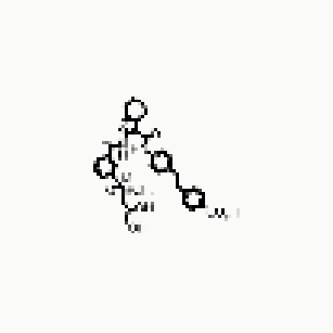 CN(CC(O)CO)S(=O)(=O)c1cccc(C(=O)Nc2sc3c(c2C(=O)Nc2ccc(CCc4ccc(C(=O)O)cc4)cc2)CCCC3)c1